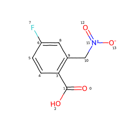 O=C(O)c1ccc(F)cc1C[N+](=O)[O-]